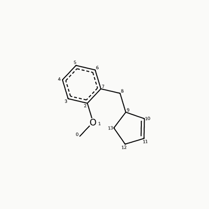 COc1ccccc1CC1C=CCC1